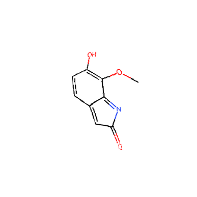 COc1c(O)ccc2c1=NC(=O)C=2